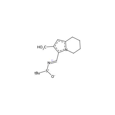 CC(C)(C)[S+]([O-])/N=C/c1c(C(=O)O)cc2n1CCCC2